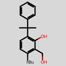 CCCCc1ccc(C(C)(C)c2ccccc2)c(O)c1CO